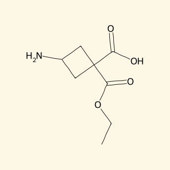 CCOC(=O)C1(C(=O)O)CC(N)C1